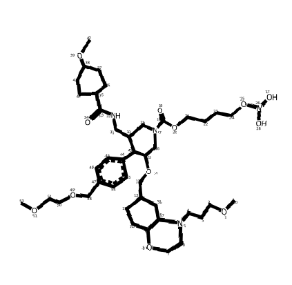 COCCCN1CCOC2CCC(COC3CN(C(=O)OCCCCON(O)O)CC(CNC(=O)C4CCC(OC)CC4)C3c3ccc(COCCOC)cc3)CC21